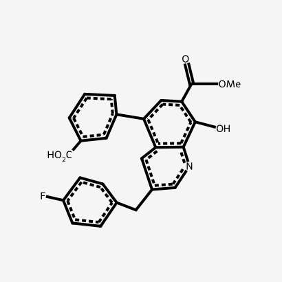 COC(=O)c1cc(-c2cccc(C(=O)O)c2)c2cc(Cc3ccc(F)cc3)cnc2c1O